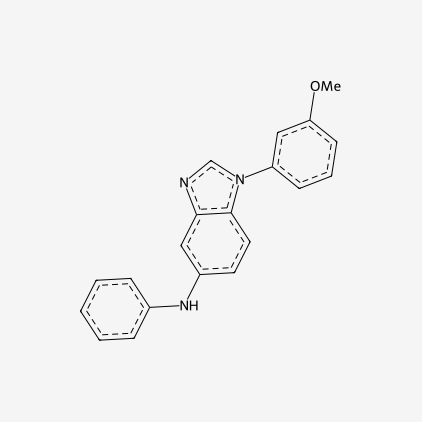 COc1cccc(-n2cnc3cc(Nc4ccccc4)ccc32)c1